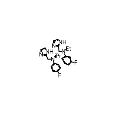 CC(C)N(Cc1ncc[nH]1)c1ccc(F)cc1.CCN(Cc1ncc[nH]1)c1cccc(F)c1